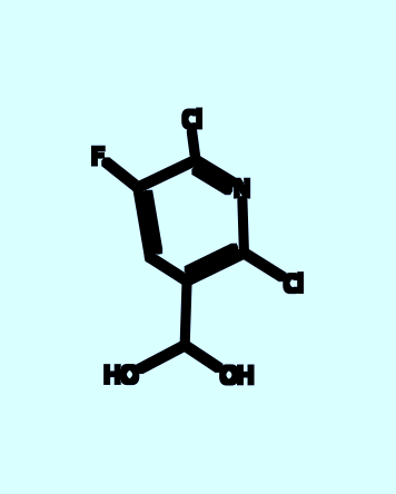 OC(O)c1cc(F)c(Cl)nc1Cl